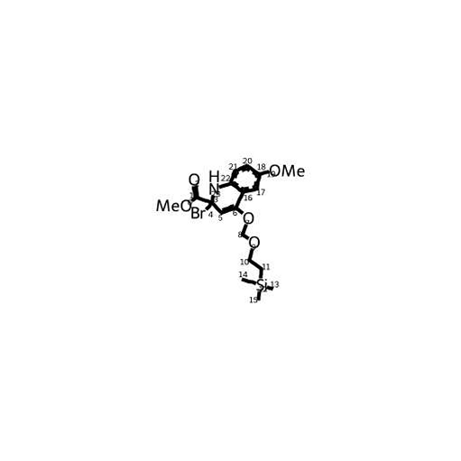 COC(=O)C1(Br)C=C(OCOCC[Si](C)(C)C)c2cc(OC)ccc2N1